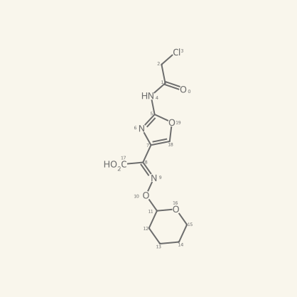 O=C(CCl)Nc1nc(/C(=N/OC2CCCCO2)C(=O)O)co1